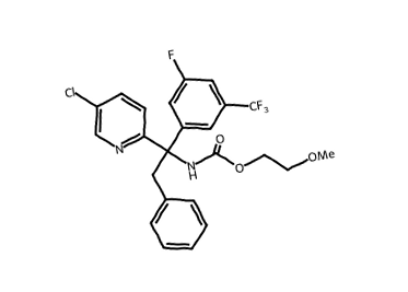 COCCOC(=O)NC(Cc1ccccc1)(c1cc(F)cc(C(F)(F)F)c1)c1ccc(Cl)cn1